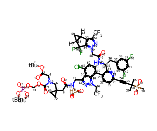 CC(C)(C)OC(=O)CN(CC1(CC(=O)N(Cc2nn(CC(F)(F)F)c3c(-c4ccc(C#CC(C)(C)S(C)(=O)=O)nc4[C@H](Cc4cc(F)cc(F)c4)NC(=O)Cn4nc(C(F)(F)F)c5c4C(F)(F)[C@@H]4C[C@H]54)ccc(Cl)c23)[SH](=O)=O)CC1)C(=O)OCOP(=O)(OC(C)(C)C)OC(C)(C)C